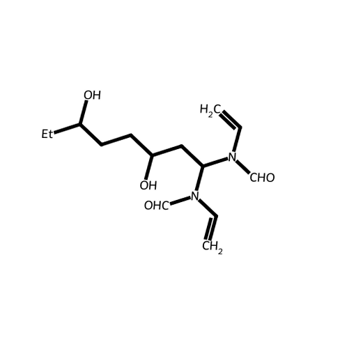 C=CN(C=O)C(CC(O)CCC(O)CC)N(C=C)C=O